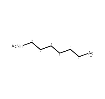 CC(=O)CCCCCCNC(C)=O